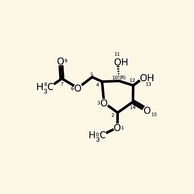 COC1OC(COC(C)=O)[C@H](O)C(O)C1=O